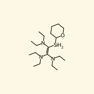 CCN(CC)C([SiH2]C1CCCCO1)=C(N(CC)CC)N(CC)CC